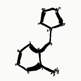 Nc1ccccc1Cn1ccnc1